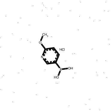 COc1ccc(B(O)O)cn1.Cl